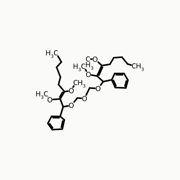 CCCCCC(OC)=C(OC)C(OCOCOC(C(OC)=C(CCCCC)OC)c1ccccc1)c1ccccc1